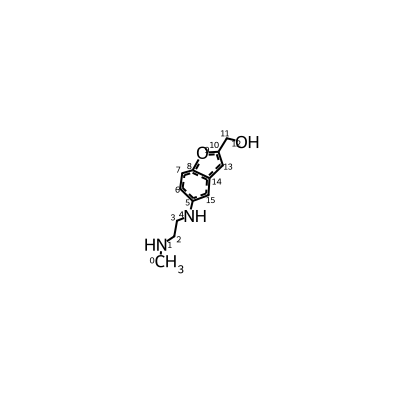 CNCCNc1ccc2oc(CO)cc2c1